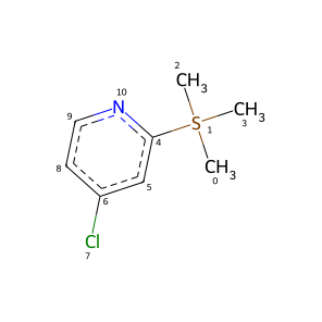 CS(C)(C)c1cc(Cl)ccn1